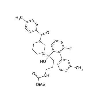 [CH2]c1ccc(C(=O)N2CCC[C@@H](C(O)(CCCNC(=O)OC)c3cccc(F)c3-c3cccc(C)c3)C2)cc1